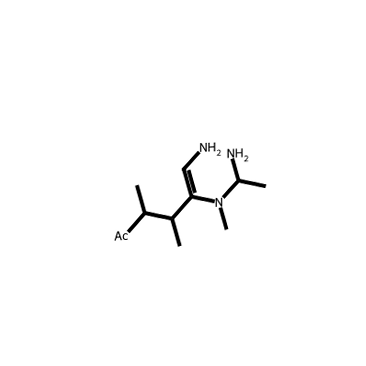 CC(=O)C(C)C(C)/C(=C/N)N(C)C(C)N